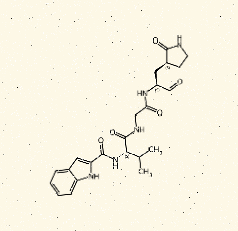 CC(C)[C@H](NC(=O)c1cc2ccccc2[nH]1)C(=O)NCC(=O)N[C@H](C=O)C[C@@H]1CCNC1=O